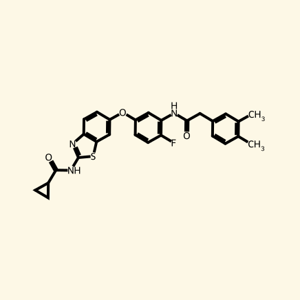 Cc1ccc(CC(=O)Nc2cc(Oc3ccc4nc(NC(=O)C5CC5)sc4c3)ccc2F)cc1C